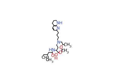 CCC(CC)CC(=O)NC(CCN(CCCCc1ccc2c(n1)NCCC2)CC(C)OC)C(=O)O